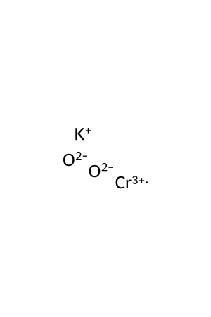 [Cr+3].[K+].[O-2].[O-2]